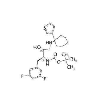 CC(C)(C)OC(=O)N[C@@H](Cc1cc(F)cc(F)c1)[C@H](O)CNC1(c2ccsc2)CCCCC1